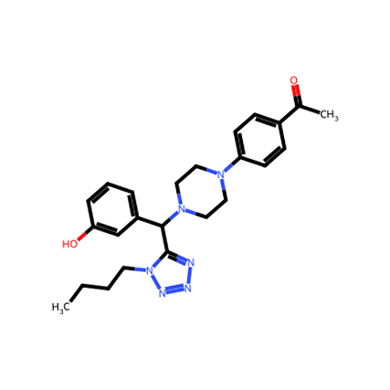 CCCCn1nnnc1C(c1cccc(O)c1)N1CCN(c2ccc(C(C)=O)cc2)CC1